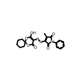 CC1=C(N=NC2=C(O)OC3(CCCCC3)OC2=O)C(=O)N(c2ccccc2)C1=O